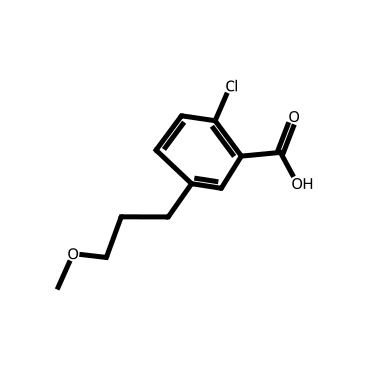 COCCCc1ccc(Cl)c(C(=O)O)c1